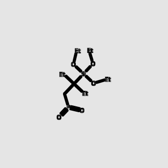 CCO[Si](OCC)(OCC)C(CC)(CC)CP(=O)=O